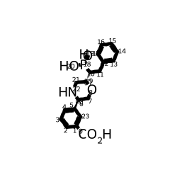 O=C(O)c1cccc([C@@H]2CO[C@@H](C(Cc3ccccc3)[PH](=O)O)CN2)c1